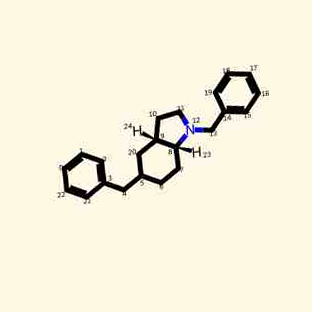 c1ccc(CC2CC[C@@H]3[C@@H](CCN3Cc3ccccc3)C2)cc1